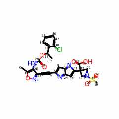 Cc1onc(C#CC2=CC3=NC(C4(C(=O)O)CN(S(C)(=O)=O)C4)=CC3=N2)c1NC(=O)OC(C)c1ccccc1Cl